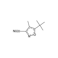 Cc1c(C#N)noc1C(C)(C)C